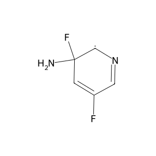 NC1(F)[CH]N=CC(F)=C1